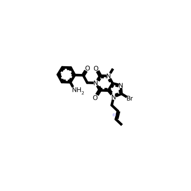 C/C=C/Cn1c(Br)nc2c1c(=O)n(CC(=O)c1ccccc1N)c(=O)n2C